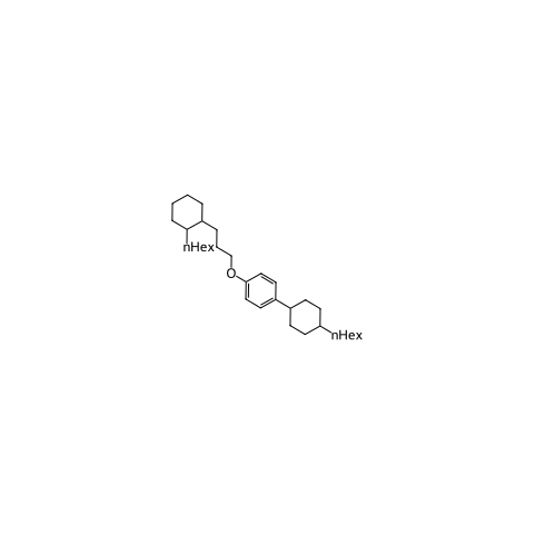 CCCCCCC1CCC(c2ccc(OCCCC3CCCCC3CCCCCC)cc2)CC1